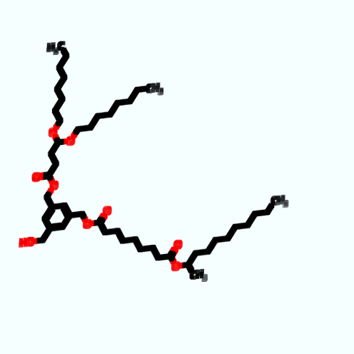 CCCCCCCCCC(C)OC(=O)CCCCCCCC(=O)OCc1cc(CO)cc(COC(=O)CCC(OCCCCCCCC)OCCCCCCCC)c1